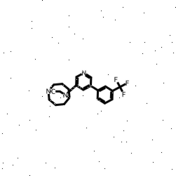 FC(F)(F)c1cccc(-c2cncc(N3CCN4CCCC3CCC4)c2)c1